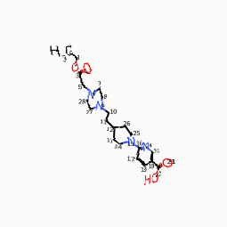 CCOC(=O)CN1CCN(CCC2CCN(c3ccc(C(=O)O)cn3)CC2)CC1